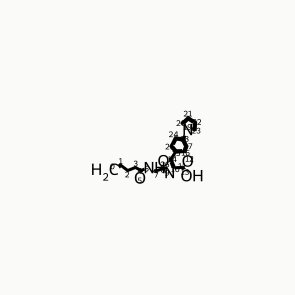 C=CCCC(=O)NCc1nc(C(=O)O)c(-c2ccc(-n3cccc3)cc2)o1